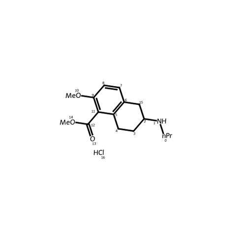 CCCNC1CCc2c(ccc(OC)c2C(=O)OC)C1.Cl